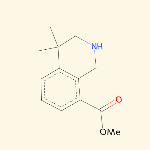 COC(=O)c1cccc2c1CNCC2(C)C